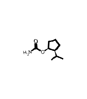 CC(C)[C@@H]1CCC[C@@H]1OC(N)=O